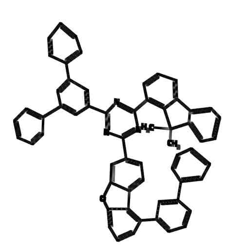 CC1(C)c2ccccc2-c2cccc(-c3nc(-c4cc(-c5ccccc5)cc(-c5ccccc5)c4)nc(-c4ccc5c(c4)oc4cccc(-c6cccc(-c7ccccc7)c6)c45)n3)c21